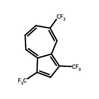 FC(F)(F)c1cccc2c(C(F)(F)F)cc(C(F)(F)F)c-2c1